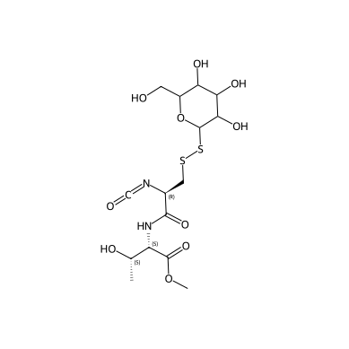 COC(=O)[C@@H](NC(=O)[C@H](CSSC1OC(CO)C(O)C(O)C1O)N=C=O)[C@H](C)O